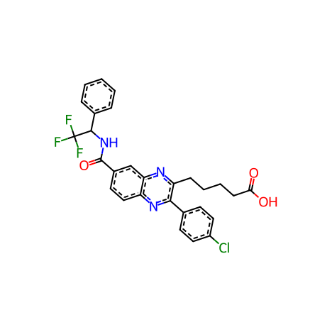 O=C(O)CCCCc1nc2cc(C(=O)NC(c3ccccc3)C(F)(F)F)ccc2nc1-c1ccc(Cl)cc1